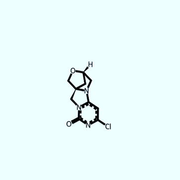 O=c1nc(Cl)cc2n1C[C@]13CO[C@H](CN21)C3